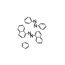 c1ccc(N=Nc2ccccc2)cc1.c1ccc2c(N=Nc3cccc4ccccc34)cccc2c1.c1ccccc1